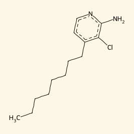 CCCCCCCCc1ccnc(N)c1Cl